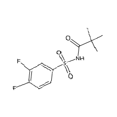 CC(C)(C)C(=O)NS(=O)(=O)c1ccc(F)c(F)c1